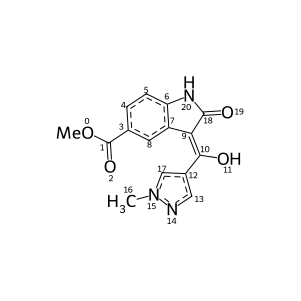 COC(=O)c1ccc2c(c1)/C(=C(/O)c1cnn(C)c1)C(=O)N2